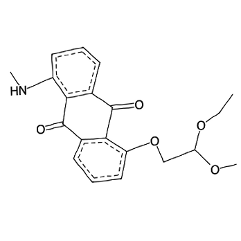 CCOC(COc1cccc2c1C(=O)c1cccc(NC)c1C2=O)OC